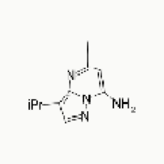 Cc1cc(N)n2ncc(C(C)C)c2n1